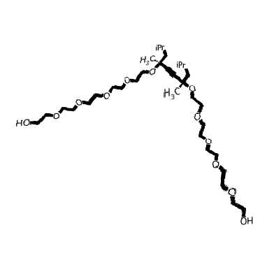 CC(C)C[C@@](C)(C#C[C@](C)(CC(C)C)OCCOCCOCCOCCOCCO)OCCOCCOCCOCCOCCO